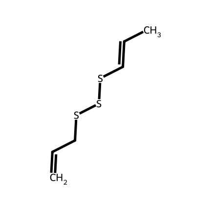 C=CCSSSC=CC